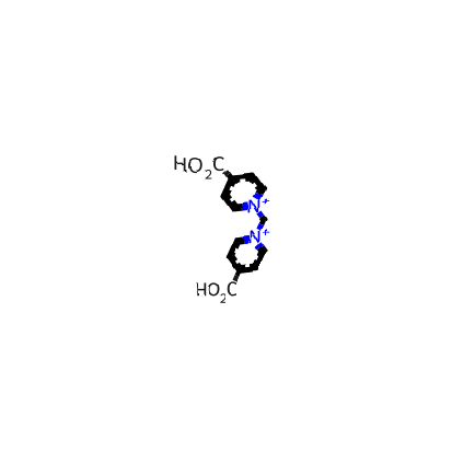 O=C(O)c1cc[n+](C[n+]2ccc(C(=O)O)cc2)cc1